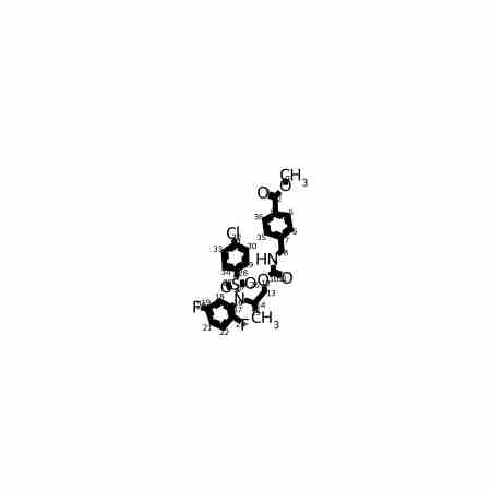 COC(=O)c1ccc(CNC(=O)OCC(C)N(c2cc(F)ccc2F)S(=O)(=O)c2ccc(Cl)cc2)cc1